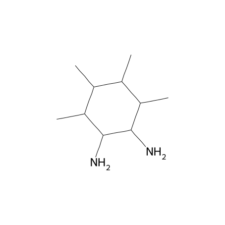 CC1C(C)C(C)C(N)C(N)C1C